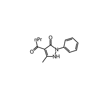 CCCC(=O)c1c(C)[nH]n(-c2ccccc2)c1=O